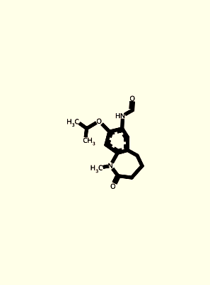 CC(C)Oc1cc2c(cc1NC=O)CCCC(=O)N2C